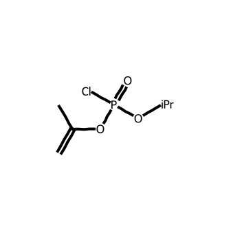 C=C(C)OP(=O)(Cl)OC(C)C